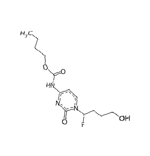 CCCCOC(=O)Nc1ccn(C(F)CCCO)c(=O)n1